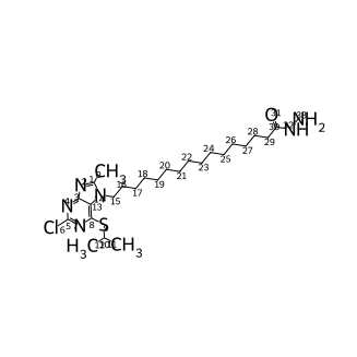 Cc1nc2nc(Cl)nc(SC(C)C)c2n1CCCCCCCCCCCCCCCC(=O)NN